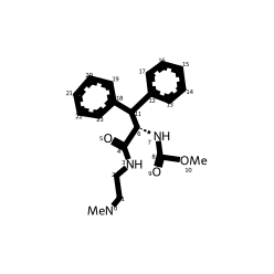 CNCCNC(=O)[C@@H](NC(=O)OC)C(c1ccccc1)c1ccccc1